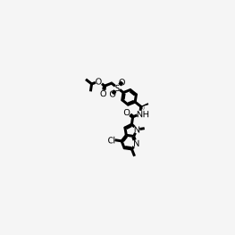 Cc1cc(Cl)c2cc(C(=O)N[C@H](C)c3ccc(S(=O)(=O)CC(=O)OC(C)C)cc3)n(C)c2n1